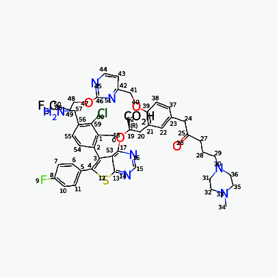 Cc1c(-c2c(-c3ccc(F)cc3)sc3ncnc(O[C@H](Cc4cc(CC(=O)CCCN5CCN(C)CC5)ccc4OCc4ccnc(OCCC(F)(F)F)n4)C(=O)O)c23)ccc(CN)c1Cl